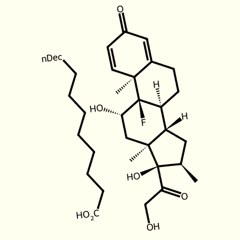 CCCCCCCCCCCCCCCCCC(=O)O.C[C@@H]1C[C@H]2[C@@H]3CCC4=CC(=O)C=C[C@]4(C)[C@@]3(F)[C@@H](O)C[C@]2(C)[C@@]1(O)C(=O)CO